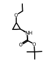 CCOC1CC1NC(=O)OC(C)(C)C